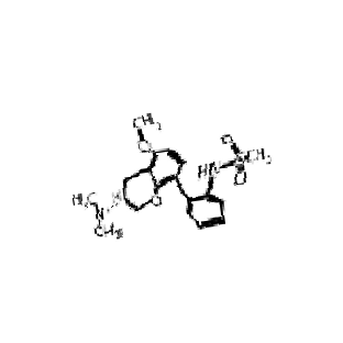 COc1ccc(-c2ccccc2NS(C)(=O)=O)c2c1C[C@@H](N(C)C)CO2